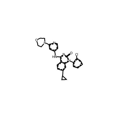 O=c1nc(Nc2ccnc(N3CCOCC3)c2)c2ccc(C3CC3)cc2n1-c1ccccc1Cl